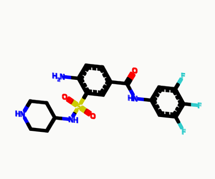 Nc1ccc(C(=O)Nc2cc(F)c(F)c(F)c2)cc1S(=O)(=O)NC1CCNCC1